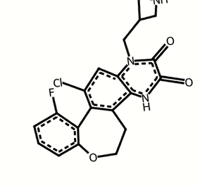 O=c1[nH]c2c3c(c(Cl)cc2n(CC2CNC2)c1=O)-c1c(F)cccc1OCC3